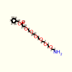 NCCOCCOCCOCCOCCOCCOCCC(=O)OCc1ccccc1